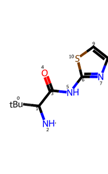 CC(C)(C)C([NH])C(=O)Nc1nccs1